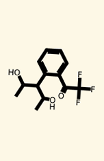 CC(O)C(c1ccccc1C(=O)C(F)(F)F)C(C)O